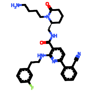 N#Cc1ccccc1-c1ccc(C(=O)NC[C@H]2CCCC(=O)N2CCCCN)c(NCCc2cccc(F)c2)n1